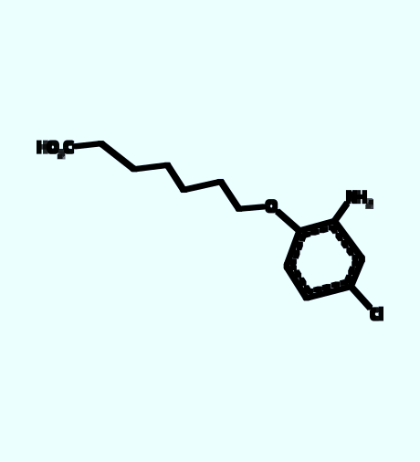 Nc1cc(Cl)ccc1OCCCCCCC(=O)O